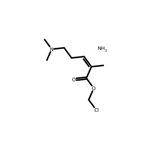 CC(=CCCN(C)C)C(=O)OCCl.N